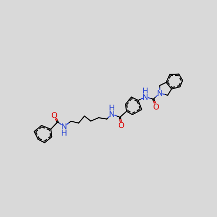 O=C(NCCCCCCNC(=O)c1ccc(NC(=O)N2Cc3ccccc3C2)cc1)c1ccccc1